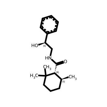 C[C@H]1CCCC(C)(C)[C@@H]1C(=O)NC[C@@H](O)c1ccccc1